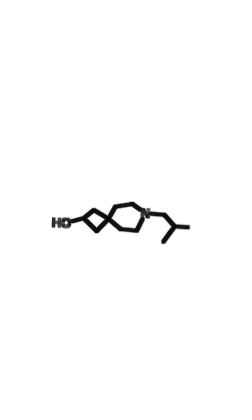 CC(C)CN1CCC2(CC1)CC(O)C2